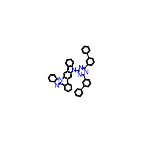 c1ccc(-c2cccc(-c3nc(-c4cccc(-c5ccccc5)c4)nc(-n4c5ccccc5c5cc6c(cc54)c4ccccc4c4nc5ccccc5n64)n3)c2)cc1